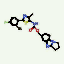 CCc1cc(F)ccc1-c1nc(C)c(NC(=O)OCc2ccc3c(c2)nc2n3CCC2)s1